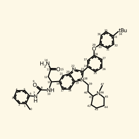 Cc1ccccc1NC(=O)NC(CC(N)=O)c1ccc2c(c1)nc(-c1cccc(Oc3ccc(C(C)(C)C)cc3)c1)n2CCC1CCCCN1C